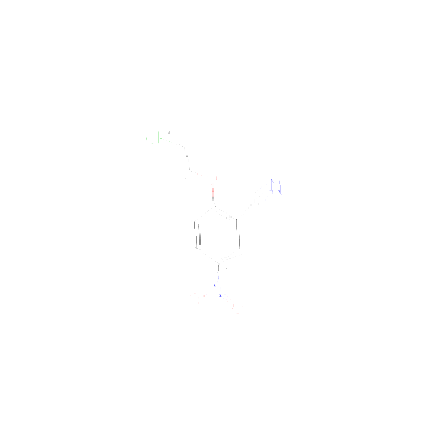 N#Cc1cc([N+](=O)[O-])ccc1OCCCl